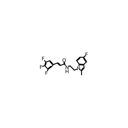 Cc1cc2cc(F)ccc2n1CCNC(=O)C=Cc1cc(F)c(F)c(F)c1